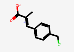 C/C(=C\c1ccc(CCl)cc1)C(=O)O